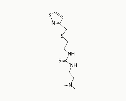 CN(C)CCNC(=S)NCCSCc1ccsn1